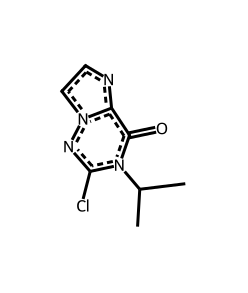 CC(C)n1c(Cl)nn2ccnc2c1=O